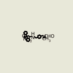 CN(C=O)Cc1ccc(CCNCCCC(C(N)=O)(c2ccccc2)c2ccccc2)cc1